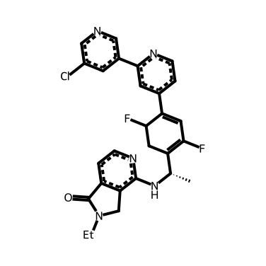 CCN1Cc2c(ccnc2N[C@@H](C)C2=C(F)C=C(c3ccnc(-c4cncc(Cl)c4)c3)C(F)C2)C1=O